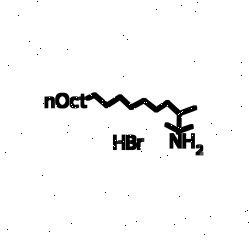 Br.CCCCCCCCCCCCCCCC(C)C(C)(C)N